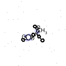 C/C=C(\C=C1/COc2ccccc21)N(c1ccc(-c2ccccc2)cc1)c1ccc2c(c1)O/C1=C/C=C3\C/C(=C\C=C\2C1)Oc1ccccc13